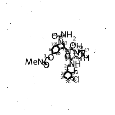 CNC(=O)COc1ccc2c(c1)c(NC(=O)N1[C@@H]3C[C@@H]3C[C@H]1C(=O)NCc1cccc(Cl)c1F)cn2C(N)=O